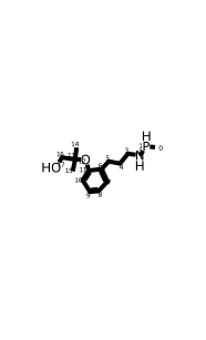 CPNCCCc1ccccc1OC(C)(C)CO